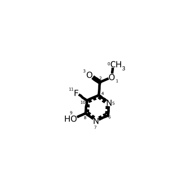 COC(=O)c1ncnc(O)c1F